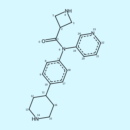 O=C(C1CNC1)N(c1ccc(C2CCNCC2)cc1)c1cccnc1